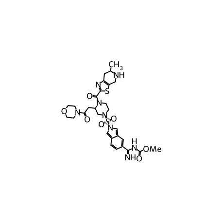 COC(=O)NC(=N)c1ccc2cn(S(=O)(=O)N3CCN(C(=O)c4nc5c(s4)CNC(C)C5)C(CC(=O)N4CCOCC4)C3)cc2c1